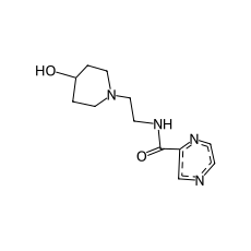 O=C(NCCN1CCC(O)CC1)c1cnccn1